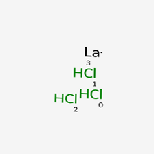 Cl.Cl.Cl.[La]